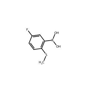 CSc1ccc(F)cc1B(O)O